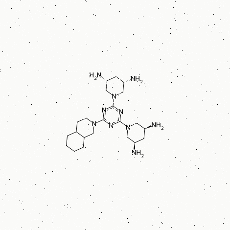 N[C@@H]1C[C@H](N)CN(c2nc(N3CCC4CCCCC4C3)nc(N3C[C@H](N)C[C@H](N)C3)n2)C1